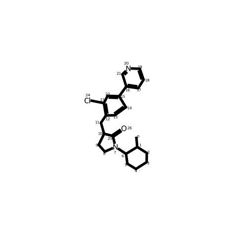 CC1CCCCC1N1CCC(Cc2ccc(-c3cccnc3)cc2Cl)C1=O